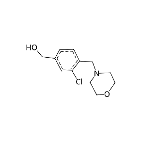 OCc1ccc(CN2CCOCC2)c(Cl)c1